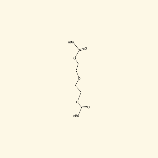 CCCCC(=O)OCCOCCOC(=O)CCCC